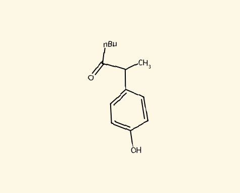 CCCCC(=O)C(C)c1ccc(O)cc1